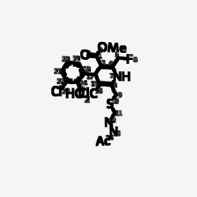 COC(=O)C1=C(CF)NC(CSCN=NC(C)=O)=C(C(=O)O)C1c1cccc(Cl)c1Cl